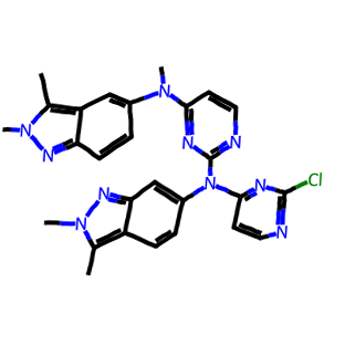 Cc1c2ccc(N(c3ccnc(Cl)n3)c3nccc(N(C)c4ccc5nn(C)c(C)c5c4)n3)cc2nn1C